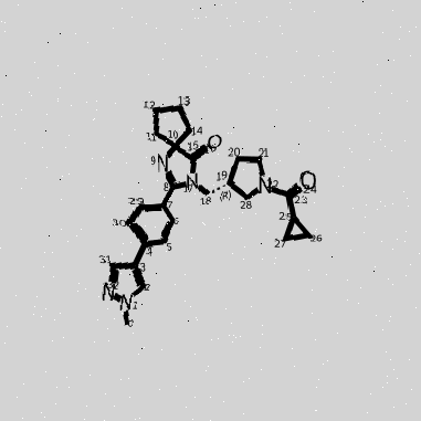 Cn1cc(-c2ccc(C3=NC4(CCCC4)C(=O)N3C[C@@H]3CCN(C(=O)C4CC4)C3)cc2)cn1